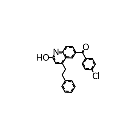 O=C(c1ccc(Cl)cc1)c1ccc2nc(O)cc(CCc3ccccc3)c2c1